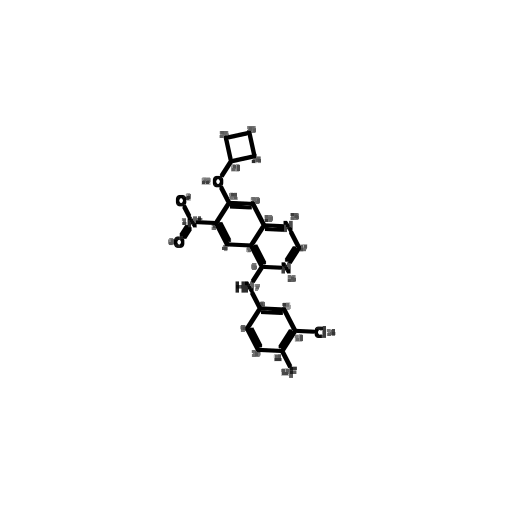 O=[N+]([O-])c1cc2c(Nc3ccc(F)c(Cl)c3)ncnc2cc1OC1CCC1